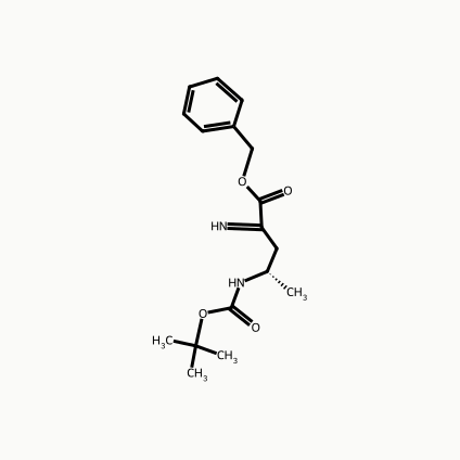 C[C@@H](CC(=N)C(=O)OCc1ccccc1)NC(=O)OC(C)(C)C